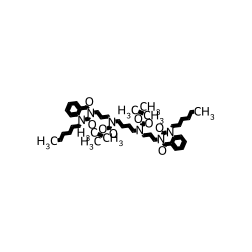 CCCCCCn1c(=O)n(CCCN(CCCCN(CCCn2c(=O)c3ccccc3n(CCCCCC)c2=O)C(=O)OC(C)(C)C)C(=O)OC(C)(C)C)c(=O)c2ccccc21